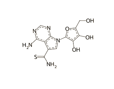 NC(=S)c1cn(-c2oc(CO)c(O)c2O)c2ncnc(N)c12